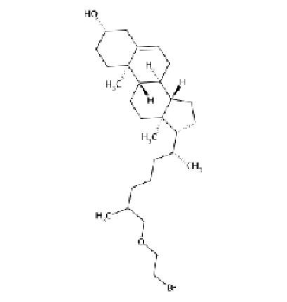 CC(CCC[C@@H](C)[C@H]1CC[C@H]2[C@@H]3CC=C4C[C@@H](O)CC[C@]4(C)[C@H]3CC[C@]12C)COCCBr